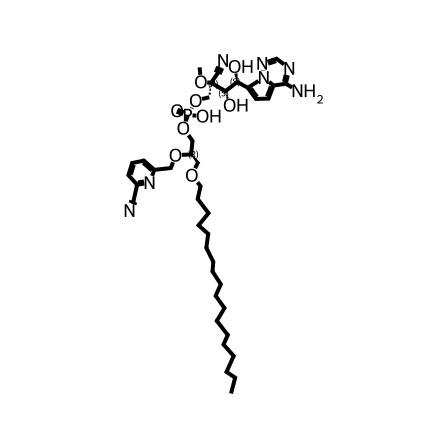 CCCCCCCCCCCCCCCCCCOC[C@H](COP(=O)(O)OC[C@@](C#N)(OC)[C@@H](O)[C@@H](O)c1ccc2c(N)ncnn12)OCc1cccc(C#N)n1